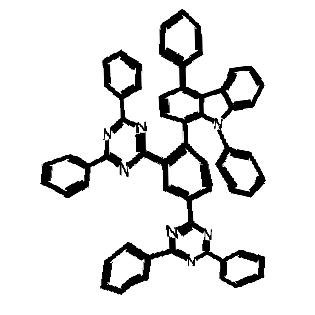 c1ccc(-c2nc(-c3ccccc3)nc(-c3ccc(-c4ccc(-c5ccccc5)c5c6ccccc6n(-c6ccccc6)c45)c(-c4nc(-c5ccccc5)nc(-c5ccccc5)n4)c3)n2)cc1